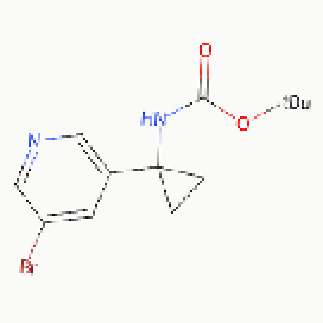 CC(C)(C)OC(=O)NC1(c2cncc(Br)c2)CC1